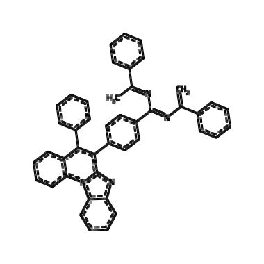 C=C(/N=C(\N=C(/C)c1ccccc1)c1ccc(-c2c(-c3ccccc3)c3ccccc3n3c2nc2ccccc23)cc1)c1ccccc1